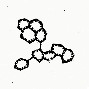 c1ccc(-c2cc(-c3ccc4ccc5cccc6ccc3c4c56)c3c(c2)oc2c4ccccc4ccc23)cc1